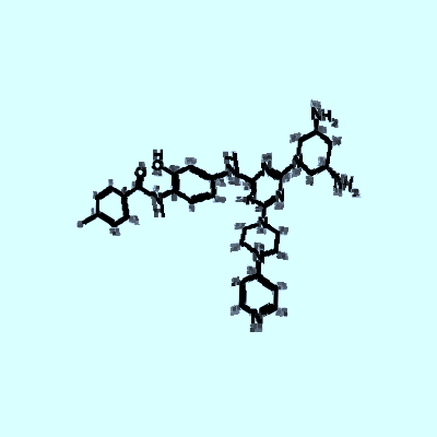 Cc1ccc(C(=O)Nc2ccc(Nc3nc(N4CCN(c5ccncc5)CC4)nc(N4C[C@H](N)C[C@H](N)C4)n3)cc2O)cc1